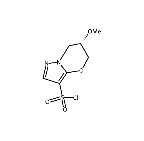 CO[C@@H]1COc2c(S(=O)(=O)Cl)cnn2C1